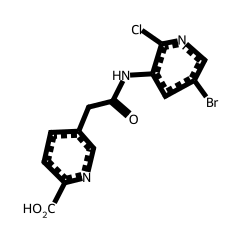 O=C(Cc1ccc(C(=O)O)nc1)Nc1cc(Br)cnc1Cl